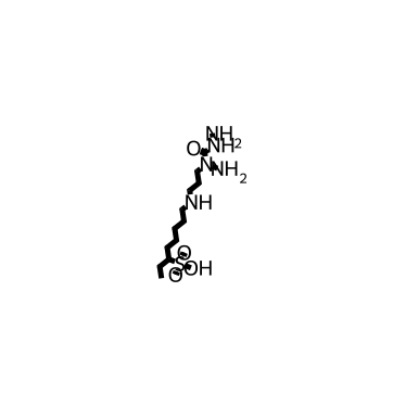 CCC(CCCCCNCCCN(N)C(=O)NN)S(=O)(=O)O